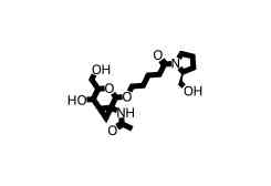 CC(=O)NC12CC1C(O)C(CO)OC2OCCCCC(=O)N1CCC[C@H]1CO